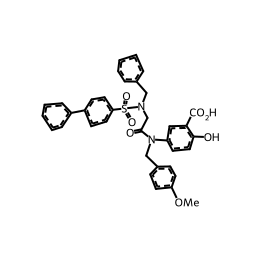 COc1ccc(CN(C(=O)CN(Cc2ccccc2)S(=O)(=O)c2ccc(-c3ccccc3)cc2)c2ccc(O)c(C(=O)O)c2)cc1